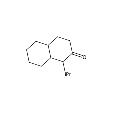 CC(C)C1C(=O)CCC2CCCCC21